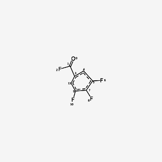 O=C(F)c1cc(F)c(F)c(F)c1